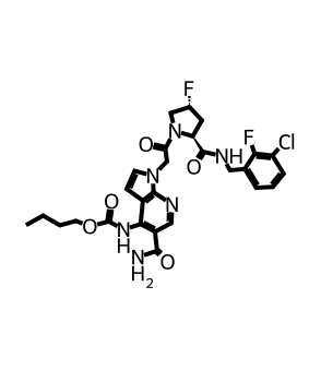 CCCCOC(=O)Nc1c(C(N)=O)cnc2c1ccn2CC(=O)N1C[C@H](F)C[C@H]1C(=O)NCc1cccc(Cl)c1F